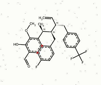 C=C[C@H](Cc1ccc(C(F)(F)F)cc1)[C@@H](Cc1ccc(F)cc1)[C@H](C)c1cnc([C]=O)c(O)c1OC